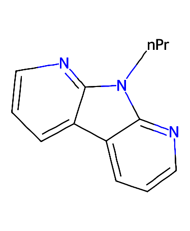 CCCn1c2ncccc2c2cccnc21